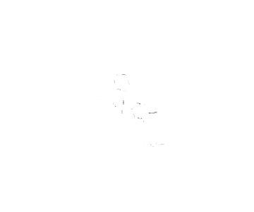 COCCn1cc(S(=O)(=O)N(C)C(c2ccc(Cl)cc2)C(F)(F)F)ccc1=O